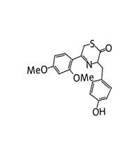 COc1ccc(C2=NC(Cc3ccc(O)cc3)C(=O)SC2)c(OC)c1